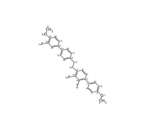 COc1ccc(-c2ccc(CCc3ccc(-c4ccc(OC)c(F)c4)cc3)c(F)c2F)cc1